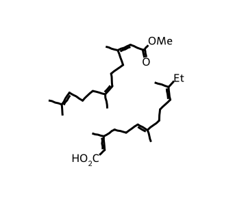 CCC(C)=CCCC(C)=CCCC(C)=CC(=O)O.COC(=O)C=C(C)CCC=C(C)CCC=C(C)C